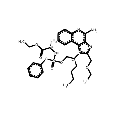 CCCC[C@@H](COP(=O)(N[C@@H](C)C(=O)OCC)Oc1ccccc1)n1c(COCC)nc2c(N)nc3ccccc3c21